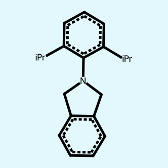 CC(C)c1cccc(C(C)C)c1N1Cc2ccccc2C1